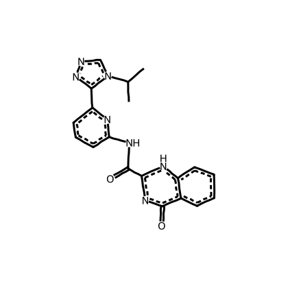 CC(C)n1cnnc1-c1cccc(NC(=O)c2nc(=O)c3ccccc3[nH]2)n1